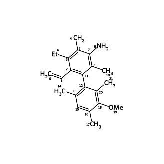 C=Cc1c(CC)c(C)c(N)c(C)c1-c1c(C)cc(C)c(OC)c1C